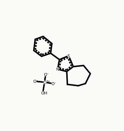 [O-][Cl+3]([O-])([O-])O.c1ccc(-c2nc3c(s2)CCCCC3)cc1